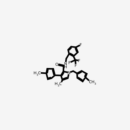 Cc1ccc(Cn2cc(C)c(-c3ccc(C)cc3)c2C(=O)NCc2ccc(F)cc2C(F)(F)F)cc1